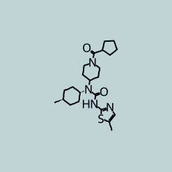 Cc1cnc(NC(=O)N(C2CCN(C(=O)C3CCCC3)CC2)[C@H]2CC[C@H](C)CC2)s1